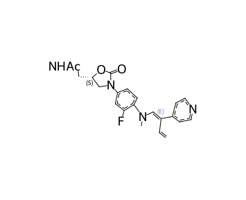 C=C/C(=C\N(C)c1ccc(N2C[C@H](CNC(C)=O)OC2=O)cc1F)c1ccncc1